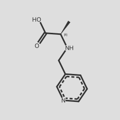 C[C@@H](NCc1cccnc1)C(=O)O